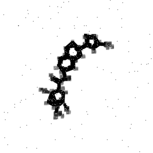 Cc1nnc(-c2ccc3cnc(NC(=O)N4C[C@@H]5C[C@H]4CN5C)cc3c2)s1